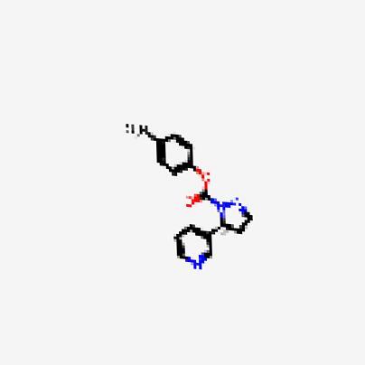 O=C(Oc1ccc([N+](=O)[O-])cc1)N1N=CC[C@H]1c1cccnc1